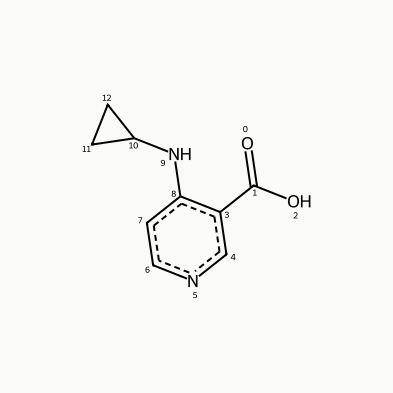 O=C(O)c1cnccc1NC1CC1